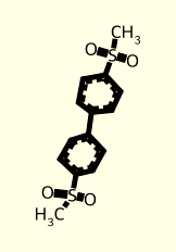 CS(=O)(=O)c1ccc(-c2ccc(S(C)(=O)=O)cc2)cc1